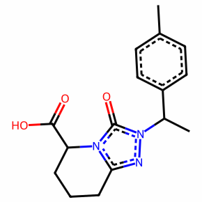 Cc1ccc(C(C)n2nc3n(c2=O)C(C(=O)O)CCC3)cc1